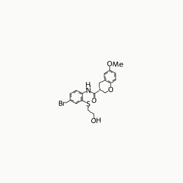 COc1ccc2c(c1)CC(C(=O)Nc1ccc(Br)cc1SCCO)CO2